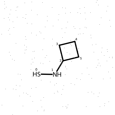 SNC1CCC1